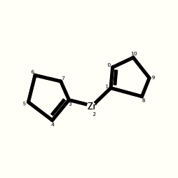 C1=[C]([Zr][C]2=CCCC2)CCC1